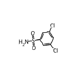 NS(=O)(=O)c1cc(Cl)cc(Cl)c1